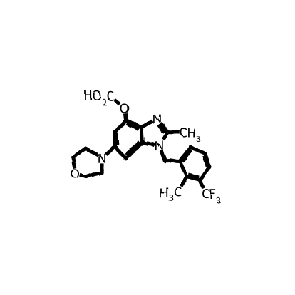 Cc1c(Cn2c(C)nc3c(OC(=O)O)cc(N4CCOCC4)cc32)cccc1C(F)(F)F